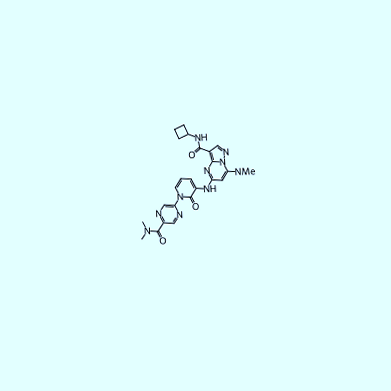 CNc1cc(Nc2cccn(-c3cnc(C(=O)N(C)C)cn3)c2=O)nc2c(C(=O)NC3CCC3)cnn12